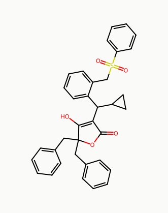 O=C1OC(Cc2ccccc2)(Cc2ccccc2)C(O)=C1C(c1ccccc1CS(=O)(=O)c1ccccc1)C1CC1